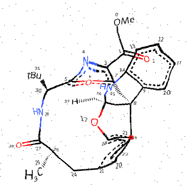 COC(=O)c1nc2oc1[C@@]13c4ccccc4N[C@@H]1Oc1ccc(cc13)C[C@H](C)C(=O)N[C@H]2C(C)(C)C